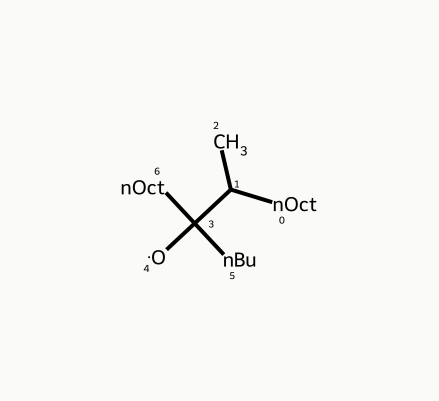 CCCCCCCCC(C)C([O])(CCCC)CCCCCCCC